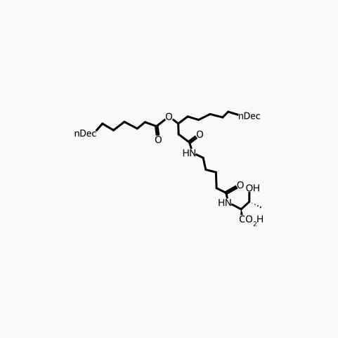 CCCCCCCCCCCCCCCC(=O)OC(CCCCCCCCCCCCCCC)CC(=O)NCCCCC(=O)N[C@H](C(=O)O)[C@@H](C)O